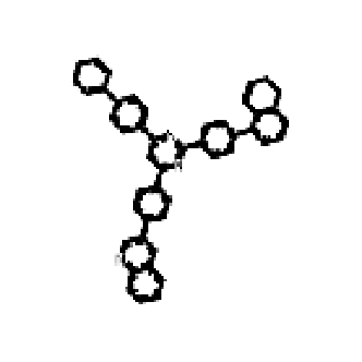 C1=CC(c2ccc(-c3cc(-c4ccc(-c5cnc6ccccc6c5)cc4)nc(-c4ccc(-c5cccc6c5C=CCC6)cc4)n3)cc2)=CCC1